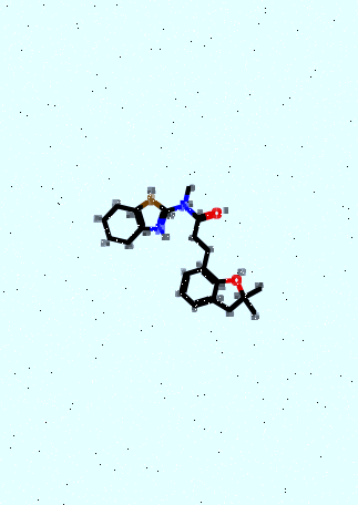 CN(C(=O)CCc1cccc2c1OC(C)(C)C2)c1nc2c(s1)CCCC2